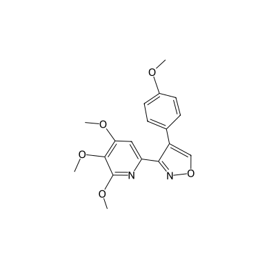 COc1ccc(-c2conc2-c2cc(OC)c(OC)c(OC)n2)cc1